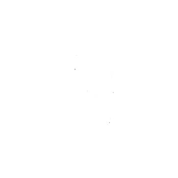 O=[PH](O)OCC(O)CO.[CaH2]